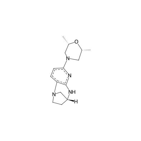 C[C@@H]1CN(c2ccc3c(n2)N[C@@H]2CCN3C2)C[C@H](C)O1